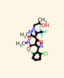 CON(C)C(=O)c1c(-c2c(F)cccc2Cl)noc1-c1cnn(CC(C)O)c1C(F)(F)F